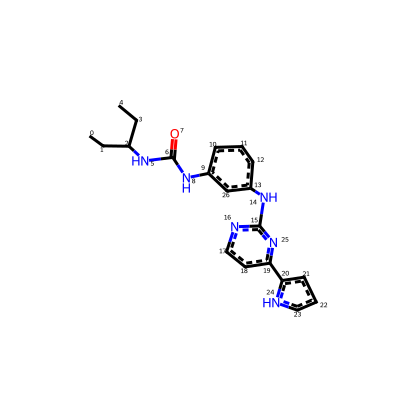 CCC(CC)NC(=O)Nc1cccc(Nc2nccc(-c3ccc[nH]3)n2)c1